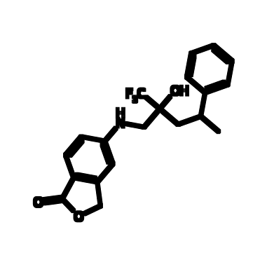 CC(CC(O)(CNc1ccc2c(c1)COC2=O)C(F)(F)F)c1ccccc1